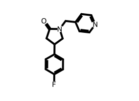 O=C1CC(c2ccc(F)cc2)CN1Cc1ccncc1